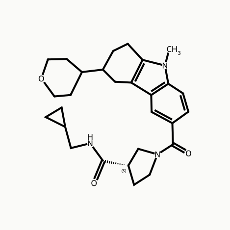 Cn1c2c(c3cc(C(=O)N4CC[C@H](C(=O)NCC5CC5)C4)ccc31)CC(C1CCOCC1)CC2